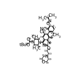 CC(C)=NOc1ccc(C)c(-c2c(Cl)cc3c(N4C[C@H](C)N(C(=O)OC(C)(C)C)C[C@@H]4C)nc(OCCN4CCOCC4)nc3c2F)c1C#N